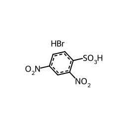 Br.O=[N+]([O-])c1ccc(S(=O)(=O)O)c([N+](=O)[O-])c1